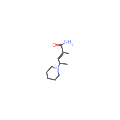 C/C(=C\C(C)N1CCCCC1)C(N)=O